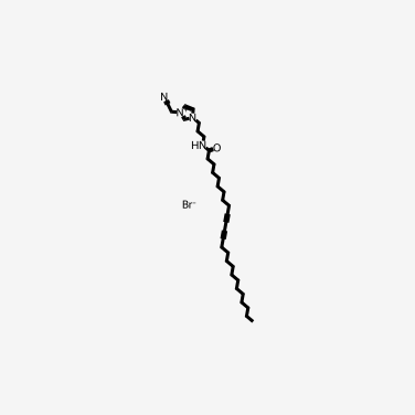 CCCCCCCCCCCCC#CC#CCCCCCCCCC(=O)NCCCn1cc[n+](CC#N)c1.[Br-]